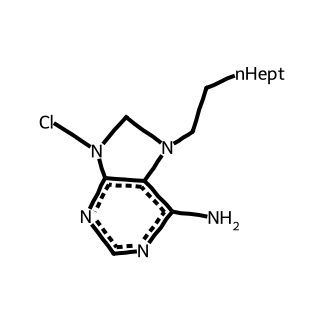 CCCCCCCCCN1CN(Cl)c2ncnc(N)c21